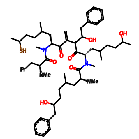 C=C([C](C(=O)[C@H](CC(C)CCC(C)O)N(C)C(=O)[C@H](CC(C)CCC(O)Cc1ccccc1)NC)C(O)Cc1ccccc1)C(=O)[C@H](CC(C)CCC(C)S)N(C)C(=O)[C@H](CC(C)C)NC